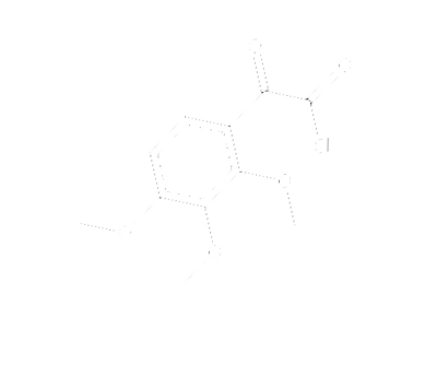 COc1ccc(C(=O)C(=O)Cl)c(OC)c1OC